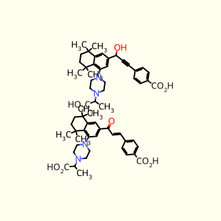 CC(C(=O)O)N1CCN(c2cc(C(=O)/C=C/c3ccc(C(=O)O)cc3)cc3c2C(C)(C)CCC3(C)C)CC1.CC(C(=O)O)N1CCN(c2cc(C(O)C#Cc3ccc(C(=O)O)cc3)cc3c2C(C)(C)CCC3(C)C)CC1